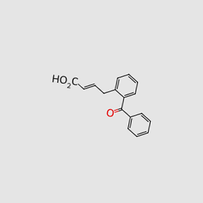 O=C(O)C=CCc1ccccc1C(=O)c1ccccc1